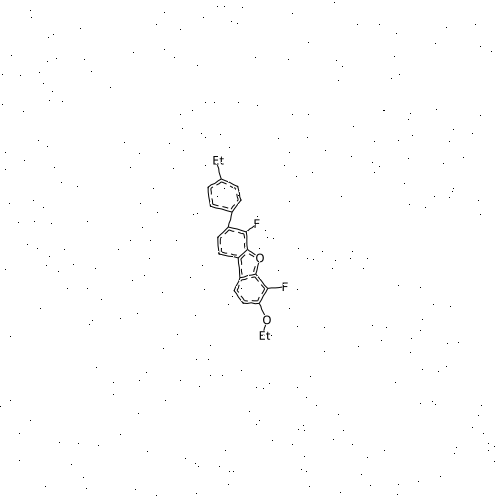 CCOc1ccc2c(oc3c(F)c(-c4ccc(CC)cc4)ccc32)c1F